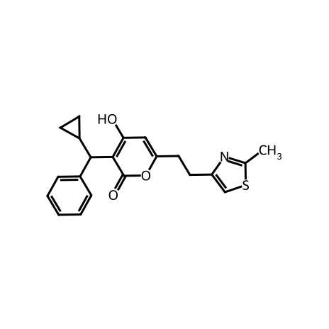 Cc1nc(CCc2cc(O)c(C(c3ccccc3)C3CC3)c(=O)o2)cs1